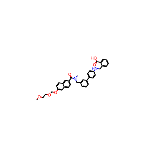 COCCOCOc1ccc2cc(C(=O)N(C)Cc3cccc(-c4ccc(NCc5ccccc5C(=O)O)cc4)c3)ccc2c1